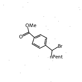 CCCCCC(Br)c1ccc(C(=O)OC)cc1